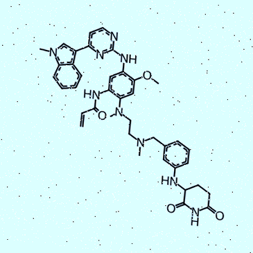 C=CC(=O)Nc1cc(Nc2nccc(-c3cn(C)c4ccccc34)n2)c(OC)cc1N(C)CCN(C)Cc1cccc(NC2CCC(=O)NC2=O)c1